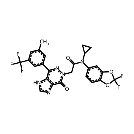 Cc1cc(-c2nn(CC(=O)N(c3ccc4c(c3)OC(F)(F)O4)C3CC3)c(=O)c3nc[nH]c23)cc(C(F)(F)F)c1